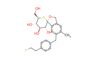 Cc1cc2c(cc1Cc1ccc(CCF)cc1)[C@]1(OC2)S[C@H](CO)[C@@H](O)[C@H](O)[C@H]1O